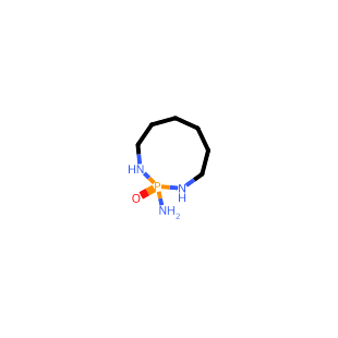 NP1(=O)NCCCCCCN1